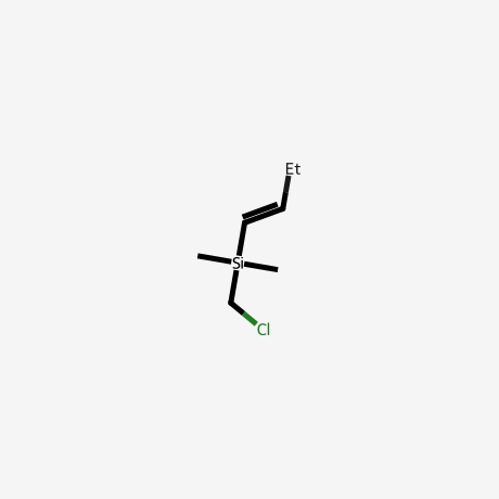 CCC=C[Si](C)(C)CCl